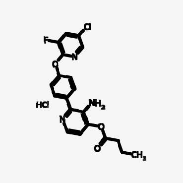 CCCC(=O)Oc1ccnc(-c2ccc(Oc3ncc(Cl)cc3F)cc2)c1N.Cl